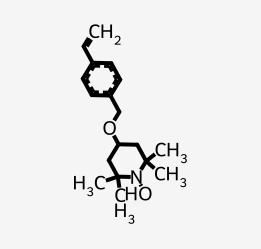 C=Cc1ccc(COC2CC(C)(C)N(O)C(C)(C)C2)cc1